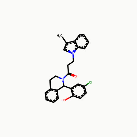 Cc1cn(CCC(=O)N2CCc3ccccc3C2c2cc(Cl)ccc2O)c2ccccc12